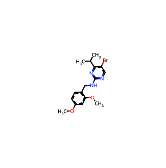 COc1ccc(CNc2ncc(Br)c(C(C)C)n2)c(OC)c1